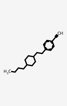 C#Cc1ccc(CCC2CCC(CCCC)CC2)cc1